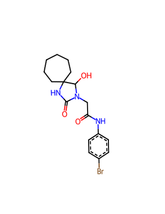 O=C(CN1C(=O)NC2(CCCCCC2)C1O)Nc1ccc(Br)cc1